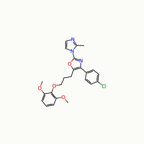 COc1cccc(OC)c1OCCCc1oc(-n2ccnc2C)nc1-c1ccc(Cl)cc1